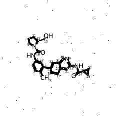 Cc1ccc(NC(=O)N2CCC[C@H]2CO)cc1-c1ccc2cc(NC(=O)C3CC3)ncc2c1